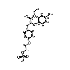 CCOC(=O)C(Cc1ccc(OCCOS(C)(=O)=O)cc1)Oc1ccc(F)cc1